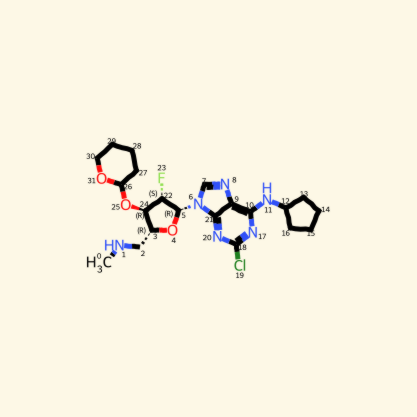 CNC[C@H]1O[C@@H](n2cnc3c(NC4CCCC4)nc(Cl)nc32)[C@@H](F)[C@@H]1OC1CCCCO1